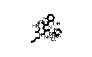 C=CCCN(/C(=N/C)c1cc(Cl)c(C2=C(O)CCC=C2F)nc1N(C=O)c1nccnc1CC)C(C)CNC=O